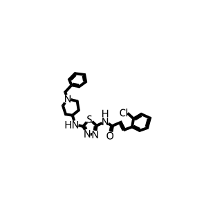 O=C(C=Cc1ccccc1Cl)Nc1nnc(NC2CCN(Cc3ccccc3)CC2)s1